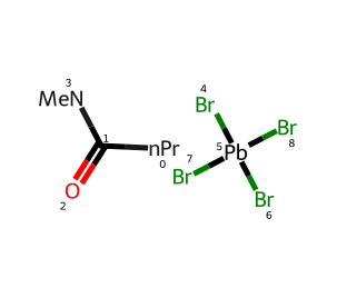 CCCC(=O)NC.[Br][Pb]([Br])([Br])[Br]